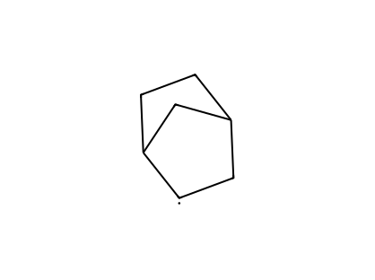 [CH]1CC2CCC1C2